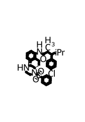 CC(C)C(c1ccc(Cl)cc1)[C@H](C)C(=O)Nc1cccc(F)c1CC[C@H]1CNCCN1S(=O)(=O)c1ccccc1